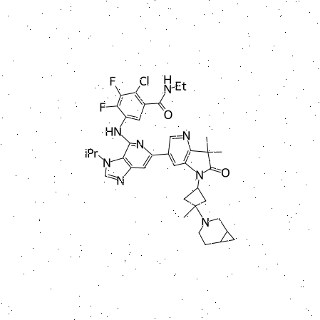 CCNC(=O)c1cc(Nc2nc(-c3cnc4c(c3)N(C3CC(C)(N5CCC6CC6C5)C3)C(=O)C4(C)C)cc3ncn(C(C)C)c23)c(F)c(F)c1Cl